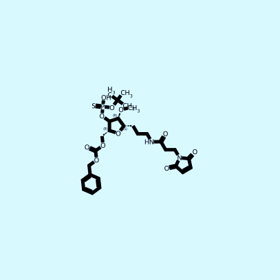 CO[C@H]1C(OP(O)(=S)OC(C)(C)C)[C@@H](COC(=O)OCc2ccccc2)O[C@H]1CCCNC(=O)CCN1C(=O)C=CC1=O